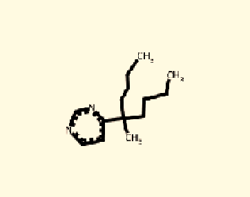 CCCCC(C)(CCCC)c1ccncn1